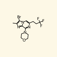 Cc1nc2c(N3CCOCC3)nc(CCC(F)(F)F)cn2c1Br